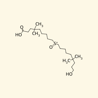 CC(C)(CCCO)CCCCC[S+]([O-])CCCCCC(C)(C)CCC(=O)O